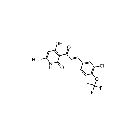 Cc1cc(O)c(C(=O)C=Cc2ccc(OC(F)(F)F)c(Cl)c2)c(=O)[nH]1